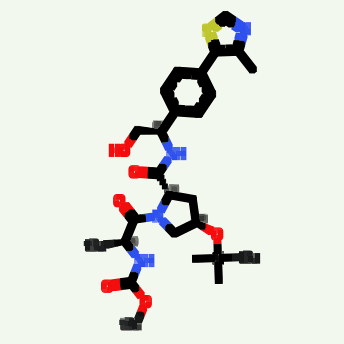 Cc1ncsc1-c1ccc([C@H](CO)NC(=O)[C@@H]2C[C@@H](O[Si](C)(C)C(C)(C)C)CN2C(=O)[C@@H](NC(=O)OC(C)(C)C)C(C)(C)C)cc1